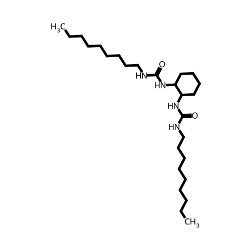 CCCCCCCCCNC(=O)NC1CCCCC1NC(=O)NCCCCCCCCC